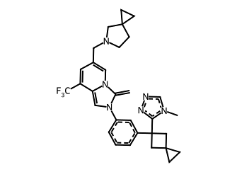 C=C1N2C=C(CN3CCC4(CC4)C3)C=C(C(F)(F)F)C2=CN1c1cccc(C2(c3nncn3C)CC3(CC3)C2)c1